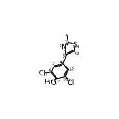 Cc1nc(-c2cc(Cl)c(O)c(Cl)c2)cs1